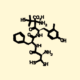 Cc1cc(O)ccc1C[C@H](NC(=O)[C@H](Cc1ccccc1)NC(=O)[C@H](N)C(S)S)C(=O)[C@](N)(C(=O)O)C(C)(C)S